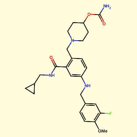 COc1ccc(CNc2ccc(CN3CCC(OC(N)=O)CC3)c(C(=O)NCC3CC3)c2)cc1F